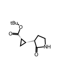 CC(C)(C)OC(=O)[C@H]1C[C@H]1C1CCNC1=O